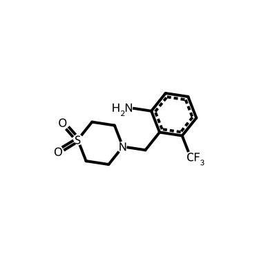 Nc1cccc(C(F)(F)F)c1CN1CCS(=O)(=O)CC1